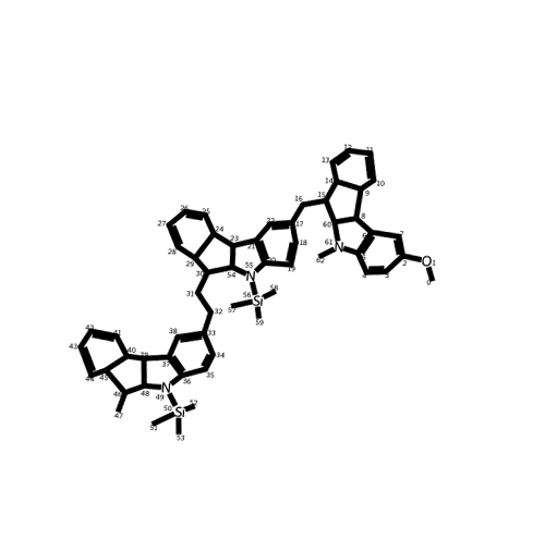 COc1ccc2c(c1)C1C3C=CC=CC3C(Cc3ccc4c(c3)C3C5C=CC=CC5C(CCc5ccc6c(c5)C5C7C=CC=CC7C(C)C5N6[Si](C)(C)C)C3N4[Si](C)(C)C)C1N2C